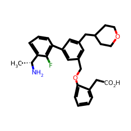 C[C@@H](N)c1cccc(-c2cc(COc3ccccc3CC(=O)O)cc(CC3CCOCC3)c2)c1F